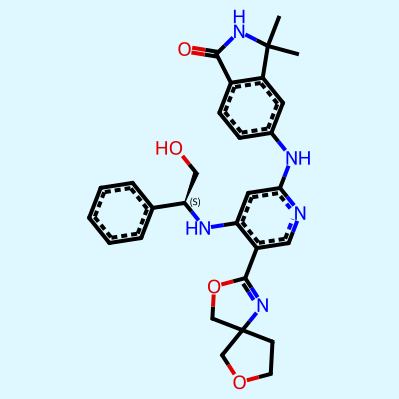 CC1(C)NC(=O)c2ccc(Nc3cc(N[C@H](CO)c4ccccc4)c(C4=NC5(CCOC5)CO4)cn3)cc21